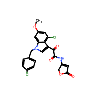 COc1cc(Cl)c2c(C(=O)C(=O)NC3=CC(=O)OC3)cn(Cc3ccc(Cl)cc3)c2c1